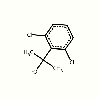 CC(C)([O])c1c(Cl)cccc1Cl